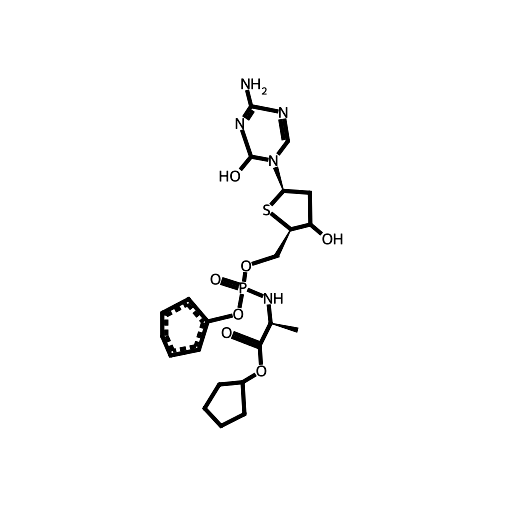 C[C@H](NP(=O)(OC[C@H]1S[C@@H](N2C=NC(N)=NC2O)CC1O)Oc1ccccc1)C(=O)OC1CCCC1